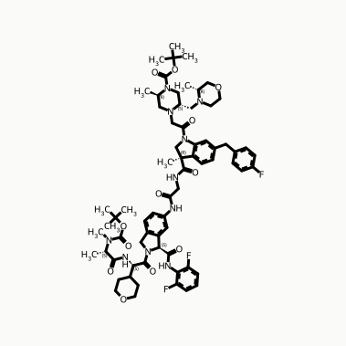 C[C@@H]1COCCN1C[C@H]1CN(C(=O)OC(C)(C)C)[C@H](C)CN1CC(=O)N1C[C@](C)(C(=O)NCC(=O)Nc2ccc3c(c2)[C@@H](C(=O)Nc2c(F)cccc2F)N(C(=O)[C@@H](NC(=O)[C@H](C)N(C)C(=O)OC(C)(C)C)C2CCOCC2)C3)c2ccc(Cc3ccc(F)cc3)cc21